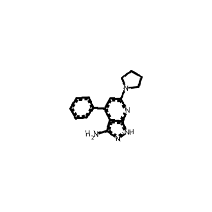 Nc1n[nH]c2nc(N3CCCC3)cc(-c3ccccc3)c12